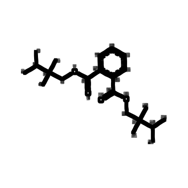 CC(C)C(C)(C)COC(=O)c1ccccc1C(=O)OCC(C)(C)C(C)C